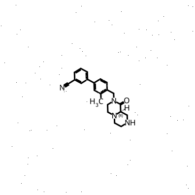 Cc1cc(-c2cccc(C#N)c2)ccc1CN1CCN2CCNC[C@@H]2C1=O